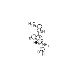 COc1cccc2[nH]c(C(=O)N3CCC4(CC4)C[C@H]3C(=O)N[C@@H](C[C@@H]3CCNC3=O)C(N)=O)cc12